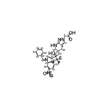 O=C(O)Cn1cc2c(n1)NCC(CC(O)(c1cn(Cc3ccccc3)c3cc([N+](=O)[O-])ccc13)C(F)(F)F)C2